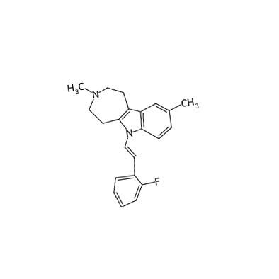 Cc1ccc2c(c1)c1c(n2/C=C/c2ccccc2F)CCN(C)CC1